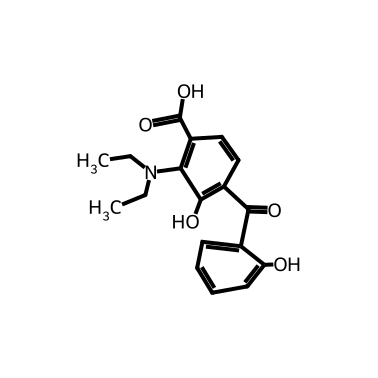 CCN(CC)c1c(C(=O)O)ccc(C(=O)c2ccccc2O)c1O